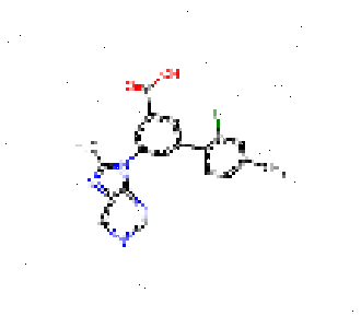 Cc1ccc(-c2cc(C(=O)O)cc(-n3c(C)nc4cncnc43)c2)c(F)c1